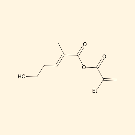 C=C(CC)C(=O)OC(=O)C(C)=CCCO